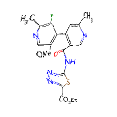 CCOC(=O)c1nnc(NC(=O)c2cnc(C)cc2-c2c(OC)cnc(C)c2F)s1